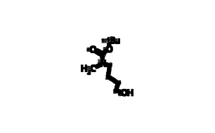 CN(CCCCO)C(=O)OC(C)(C)C